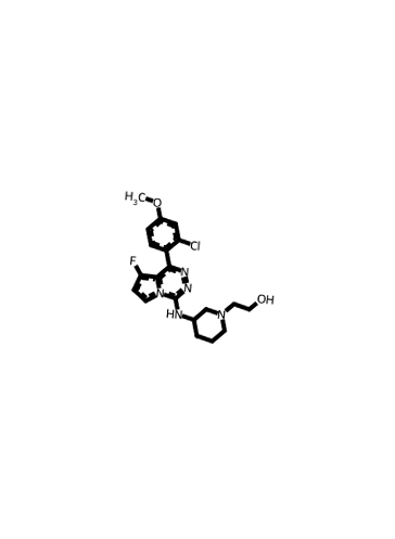 COc1ccc(-c2nnc(NC3CCCN(CCO)C3)n3ccc(F)c23)c(Cl)c1